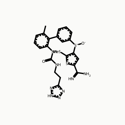 CSc1sc(C(=N)N)cc1[S+]([O-])c1cccc(-c2c(C)cccc2NC(=O)NCCc2nn[nH]n2)c1